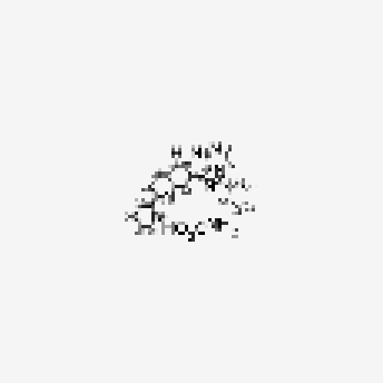 NC(=O)O.Nc1nccn2c(C3CCCCC3)nc(-c3ccc4ccc(-c5ccccn5)nc4c3)c12